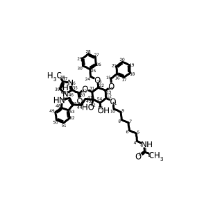 CC(=O)NCCCCCCCOC1C(OCc2ccccc2)C(OCc2ccccc2)C(OC(=O)c2nc(C)c[nH]2)C(O)(CCc2c[nH]c3ccccc23)C1O